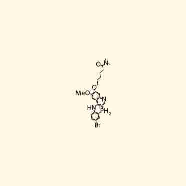 COc1cc2c(Nc3ccc(Br)cc3P)ncnc2cc1OCCCCCC(=O)N(C)C